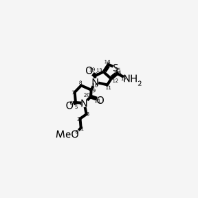 COCCCN1C(=O)CCC(N2Cc3c(csc3N)C2=O)C1=O